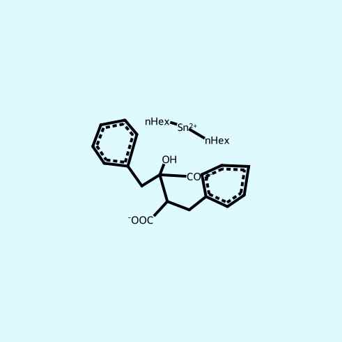 CCCCC[CH2][Sn+2][CH2]CCCCC.O=C([O-])C(Cc1ccccc1)C(O)(Cc1ccccc1)C(=O)[O-]